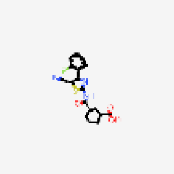 N#Cc1sc(NC(=O)[C@@H]2CCC[C@H](C(=O)O)C2)nc1-c1ccccc1F